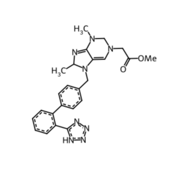 COC(=O)CN1C=C2C(=NC(C)N2Cc2ccc(-c3ccccc3-c3nnn[nH]3)cc2)N(C)C1